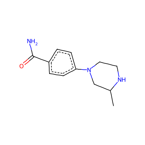 CC1CN(c2ccc(C(N)=O)cc2)CCN1